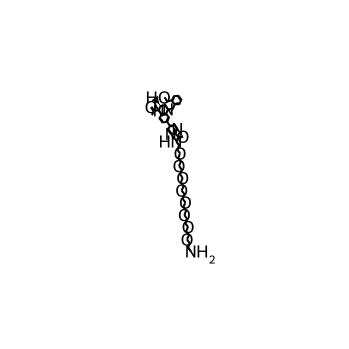 CC(=O)N1c2ccc(-c3cnc(C(=O)NCCOCCOCCOCCOCCOCCOCCOCCOCCN)nc3)cc2N(Cc2ccccc2CO)C[C@@H]1C1CC1